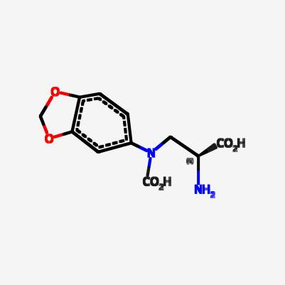 N[C@@H](CN(C(=O)O)c1ccc2c(c1)OCO2)C(=O)O